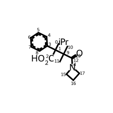 CC(C)C(C(=O)O)(c1ccccc1)C(C)(C)C(=O)N1CCC1